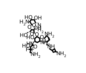 NC[C@@H]1O[C@H](O[C@H]2[C@@H](O)[C@H](O[C@@H]3[C@@H](O)[C@H](NC(=O)C(O)C(F)(F)CN)C[C@H](N)[C@H]3O[C@H]3O[C@H](CNCC4CC(N)C4)C=C[C@H]3N)O[C@@H]2CO)[C@H](N)[C@@H](O)[C@@H]1O